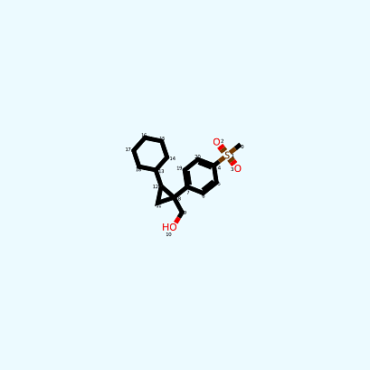 CS(=O)(=O)c1ccc(C2(CO)CC2C2CCCCC2)cc1